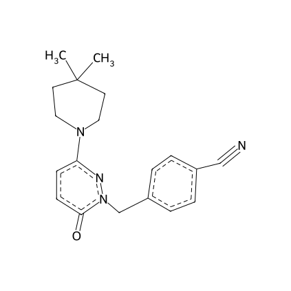 CC1(C)CCN(c2ccc(=O)n(Cc3ccc(C#N)cc3)n2)CC1